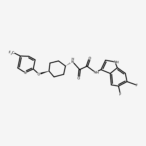 O=C(Nc1c[nH]c2cc(F)c(F)cc12)C(=O)N[C@H]1CC[C@H](Oc2ccc(C(F)(F)F)cn2)CC1